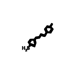 Bc1ccc(/C=C/C=C/c2ccc(C)cc2)cc1